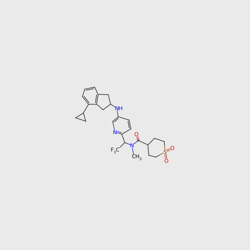 CN(C(=O)C1CCS(=O)(=O)CC1)C(c1ccc(NC2Cc3cccc(C4CC4)c3C2)cn1)C(F)(F)F